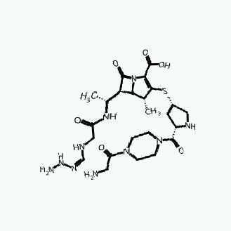 C[C@H]1C(S[C@@H]2CN[C@H](C(=O)N3CCN(C(=O)CN)CC3)C2)=C(C(=O)O)N2C(=O)[C@H]([C@@H](C)NC(=O)CN/C=N\NN)C12